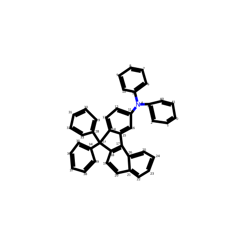 c1ccc(N(c2ccccc2)c2ccc3c(c2)-c2c(ccc4ccccc24)C3(c2ccccc2)c2ccccc2)cc1